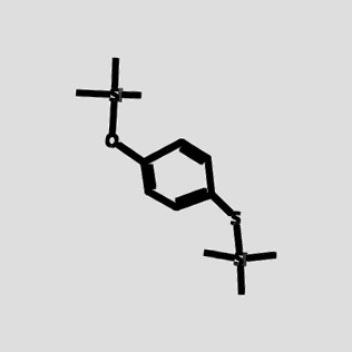 C[Si](C)(C)Oc1ccc(S[Si](C)(C)C)cc1